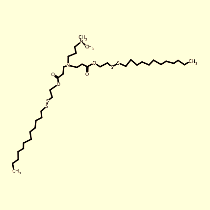 CCCCCCCCCCCCSSCCOC(=O)CCN(CCCN(C)C)CCC(=O)OCCSSCCCCCCCCCCCC